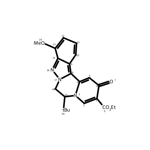 CCOC(=O)c1cn2c(cc1=O)-c1c3cccc(OC)c3nn1CC2C(C)(C)C